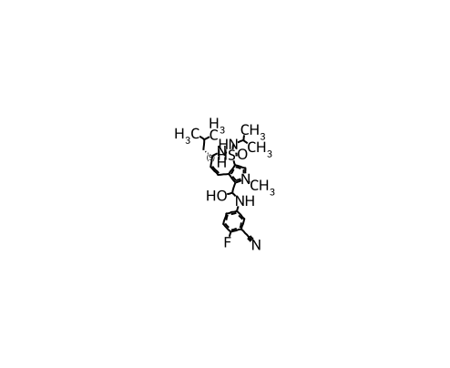 CC(C)C[C@H]1C=Cc2c(cn(C)c2C(O)Nc2ccc(F)c(C#N)c2)[SH](=O)(NC(C)C)N1